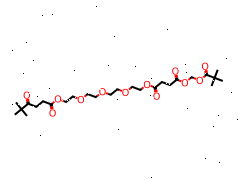 CC(C)(C)C(=O)CCC(=O)OCCOCCOCCOCCOC(=O)CCC(=O)OCOC(=O)C(C)(C)C